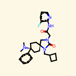 CN(C)[C@]1(c2ccccc2)CC[C@@]2(CC1)CN(CC(=O)Nc1ncccc1F)C(=O)N2CC1CCC1